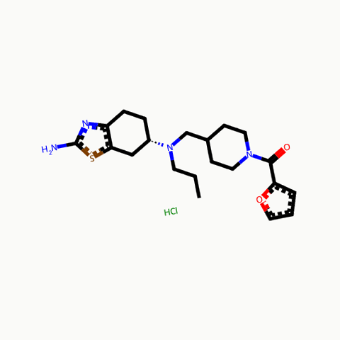 CCCN(CC1CCN(C(=O)c2ccco2)CC1)[C@H]1CCc2nc(N)sc2C1.Cl